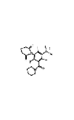 CC(=O)N(C)c1c(I)c(C(=O)N2CCCCC2)c(I)c(N2C(=O)CCCC2=O)c1I